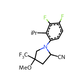 COC1(C(F)(F)F)CC(C#N)N(c2ccc(F)c(F)c2C(C)C)C1